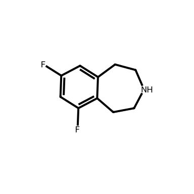 Fc1cc(F)c2c(c1)CCNCC2